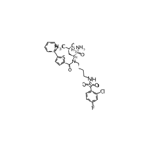 CC(C)C[C@@H](C(N)=O)N(CCCCNS(=O)(=O)c1ccc(F)cc1Cl)C(=O)c1ccc(-c2ccccc2)s1